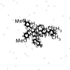 COc1ccc(CN(Cc2ccc(OC)cc2)c2nccnc2[C@@H](C)N2CCOc3nc(-c4nc(C)c(F)c(C)c4C(F)(F)F)c(F)c4nc(OC[C@@]56CCCN5C[C@H](F)C6)nc2c34)cc1